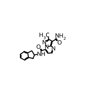 Cc1nn2c(C(=O)NC3Cc4ccccc4C3)ccnc2c1C(N)=O